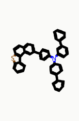 c1ccc(-c2ccc(N(c3ccc(-c4ccc5ccc6sc7ccccc7c6c5c4)cc3)c3cccc(-c4ccccc4)c3)cc2)cc1